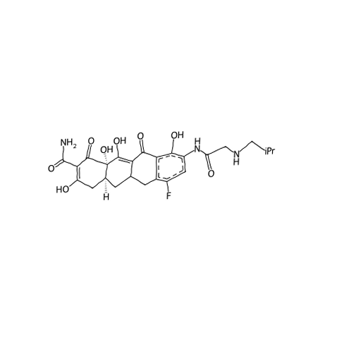 CC(C)CNCC(=O)Nc1cc(F)c2c(c1O)C(=O)C1=C(O)[C@]3(O)C(=O)C(C(N)=O)=C(O)C[C@@H]3CC1C2